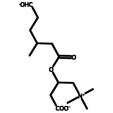 CC(CC[C]=O)CC(=O)OC(CC(=O)[O-])C[N+](C)(C)C